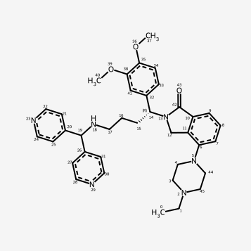 CCN1CCN(c2cccc3c2CN([C@H](CCCNC(c2ccncc2)c2ccncc2)c2ccc(OC)c(OC)c2)C3=O)CC1